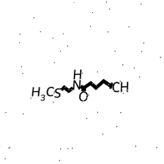 C#CCCCC(=O)NCCSC